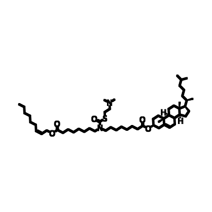 CCCCCC/C=C\COC(=O)CCCCCCCN(CCCCCCCC(=O)O[C@H]1CC[C@@]2(C)C(=CCC3[C@@H]4CC[C@H]([C@H](C)CCCC(C)C)[C@@]4(C)CC[C@@H]32)C1)C(=O)SCCN(C)C